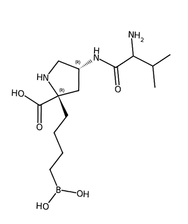 CC(C)C(N)C(=O)N[C@H]1CN[C@@](CCCCB(O)O)(C(=O)O)C1